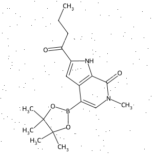 CCCC(=O)c1cc2c(B3OC(C)(C)C(C)(C)O3)cn(C)c(=O)c2[nH]1